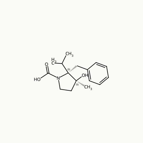 CC(C)[C@]1(Cc2ccccc2)N(C(=O)O)CC[C@]1(C)O